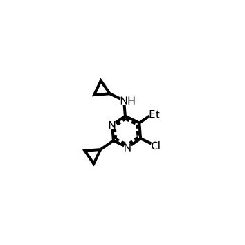 CCc1c(Cl)nc(C2CC2)nc1NC1CC1